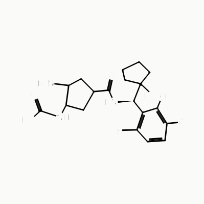 CC(=O)NC1CC(C(=O)N[C@H](c2c(F)ccc(Cl)c2Cl)C2(C)CCCC2)CC1N